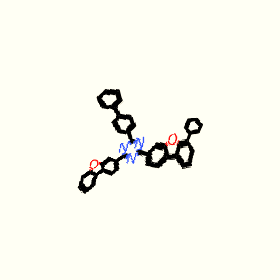 c1ccc(-c2ccc(-c3nc(-c4ccc5c(c4)oc4ccccc45)nc(-c4ccc5c(c4)oc4c(-c6ccccc6)cccc45)n3)cc2)cc1